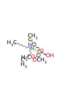 CCCCCCCCc1nc2c(-c3ccc(C)s3)ccc(-c3ccc(-c4cc(C(=O)OCC)c(C)cc4C(=O)C#CO)s3)c2nc1CCCCCCCC